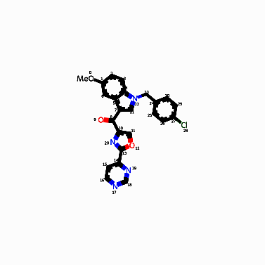 COc1ccc2c(c1)c(C(=O)c1coc(-c3ccncn3)n1)cn2Cc1ccc(Cl)cc1